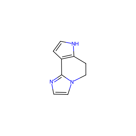 c1cn2c(n1)-c1cc[nH]c1CC2